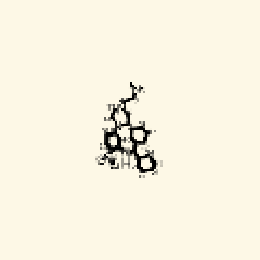 CN(C)CCN1CCN(c2ccc([N+](=O)[O-])c(NC(c3ccccc3)c3ccccc3)c2)CC1